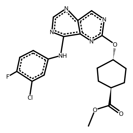 COC(=O)[C@H]1CC[C@H](Oc2ncc3ncnc(Nc4ccc(F)c(Cl)c4)c3n2)CC1